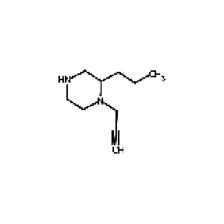 C#CCN1CCNCC1CCC